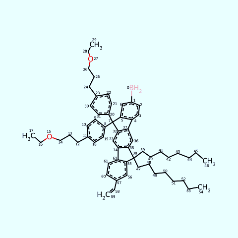 Bc1ccc2c(c1)C(c1ccc(CCCOCC)cc1)(c1ccc(CCCOCC)cc1)c1cc3c(cc1-2)C(CCCCCCCC)(CCCCCCCC)c1cc(C=C)ccc1-3